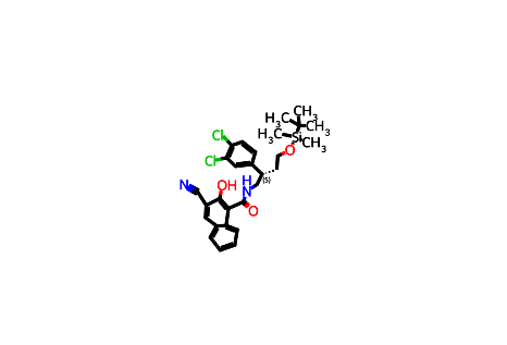 CC(C)(C)[Si](C)(C)OCC[C@H](CNC(=O)c1c(O)c(C#N)cc2ccccc12)c1ccc(Cl)c(Cl)c1